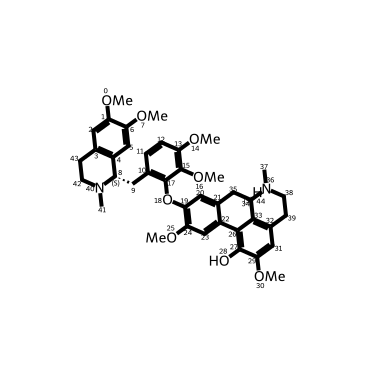 COc1cc2c(cc1OC)[C@H](Cc1ccc(OC)c(OC)c1Oc1cc3c(cc1OC)-c1c(O)c(OC)cc4c1[C@H](C3)N(C)CC4)N(C)CC2